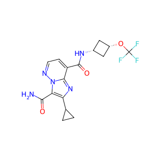 NC(=O)c1c(C2CC2)nc2c(C(=O)N[C@H]3C[C@@H](OC(F)(F)F)C3)ccnn12